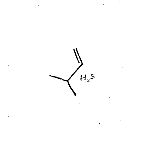 C=CC(C)C.S